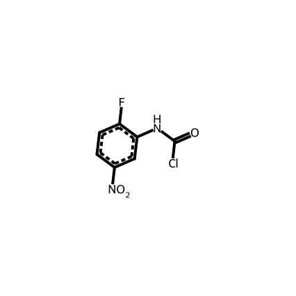 O=C(Cl)Nc1cc([N+](=O)[O-])ccc1F